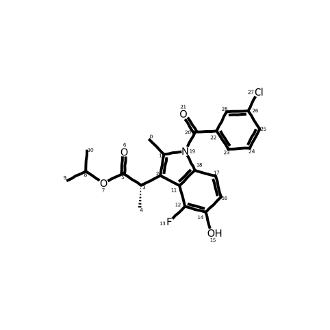 Cc1c([C@H](C)C(=O)OC(C)C)c2c(F)c(O)ccc2n1C(=O)c1cccc(Cl)c1